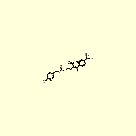 CCN(CC)c1ccc2c(C)c(CCOC(=O)NCc3ccc(Cl)nc3)c(=O)oc2c1